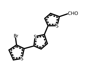 O=Cc1ccc(-c2ccc(-c3sccc3Br)s2)s1